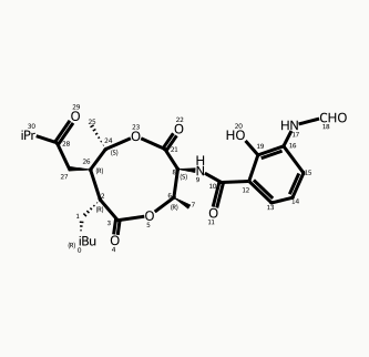 CC[C@@H](C)C[C@H]1C(=O)O[C@H](C)[C@H](NC(=O)c2cccc(NC=O)c2O)C(=O)O[C@@H](C)[C@@H]1CC(=O)C(C)C